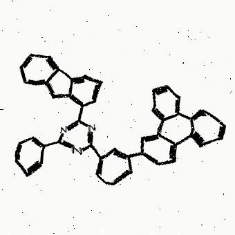 c1ccc(-c2nc(-c3cccc(-c4ccc5c6ccccc6c6ccccc6c5c4)c3)nc(-c3cccc4c3Cc3ccccc3-4)n2)cc1